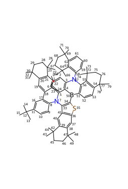 Cc1cc2c3c(c1)N(c1ccc(C(C)(C)C)cc1-c1cc4c(cc1C)C(C)(C)CCC4(C)C)c1c(sc4cc5c(cc14)C(C)(C)CCC5(C)C)B3c1ccc3c(c1N2c1cccc2c1C(C)(C)CCC2(C)C)C(C)(C)CCC3(C)C